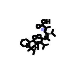 CCC(C)(C)N1CCCCC1C(=O)N[C@H](C(=O)N(C)[C@H](/C=C(\C)C(=O)O)C(C)C)C(C)C